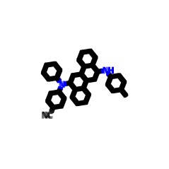 CC1CCC(NC2CC3C(CC(N(C4CCCCC4)C4CCC(C#N)CC4)C4CCCCC34)C3CCCCC23)CC1